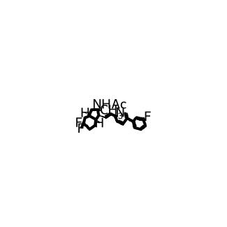 CC(=O)N[C@]1(C)C[C@@H]2CC(F)(F)CC[C@H]2[C@@H]1/C=C/c1ccc(-c2cccc(F)c2)cn1